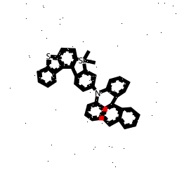 C[Si]1(C)c2cc(N(c3ccccc3)c3ccccc3-c3cccc4ccccc34)ccc2-c2c1ccc1sc3ccccc3c21